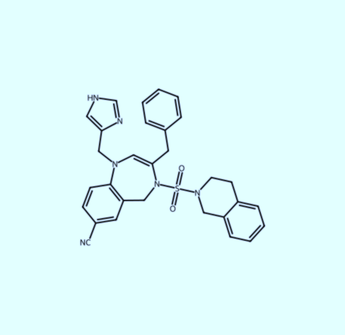 N#Cc1ccc2c(c1)CN(S(=O)(=O)N1CCc3ccccc3C1)C(Cc1ccccc1)=CN2Cc1c[nH]cn1